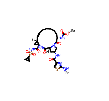 CC(C)Nc1nc(C(=O)N[C@@H]2C[C@H]3C(=O)N[C@]4(C(=O)NS(=O)(=O)C5CC5)C[C@H]4/C=C\CCCCC[C@H](NC(=O)OC(C)(C)C)C(=O)N3C2)cs1